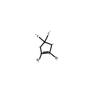 FC1(F)CC(Br)=C(Br)C1